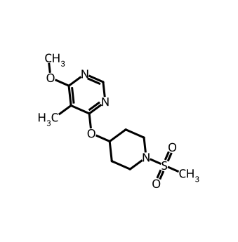 COc1ncnc(OC2CCN(S(C)(=O)=O)CC2)c1C